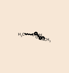 C=CCCCCCCOc1cccc(NC(=O)c2ccc3nc(C)ccc3c2)c1